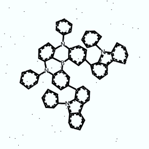 c1ccc(N2c3ccc(-c4cccc5c6ccccc6n(-c6ccccc6)c45)cc3B3c4cc(-c5cccc6c7ccccc7n(-c7ccccc7)c56)ccc4N(c4ccccc4)c4cccc2c43)cc1